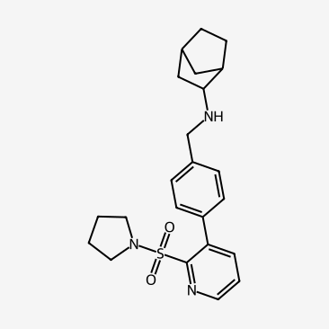 O=S(=O)(c1ncccc1-c1ccc(CNC2CC3CCC2C3)cc1)N1CCCC1